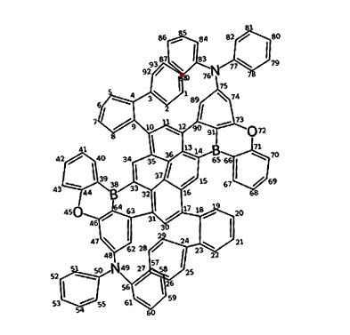 c1ccc(-c2ccccc2-c2cc3c4c(cc5c(-c6ccccc6-c6ccccc6)cc6c7c(cc2c4c57)B2c4ccccc4Oc4cc(N(c5ccccc5)c5ccccc5)cc-6c42)B2c4ccccc4Oc4cc(N(c5ccccc5)c5ccccc5)cc-3c42)cc1